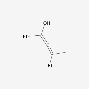 CCC(C)=C=C(O)CC